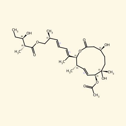 CC[C@@H](O)[C@@H](C)C(=O)OC[C@@H](C)/C=C/C=C(\C)[C@H]1OC(=O)C[C@@H](O)CC[C@](C)(O)[C@@H](OC(C)=O)/C=C/[C@@H]1C